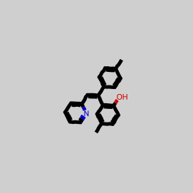 Cc1ccc(C(=Cc2ccccn2)c2cc(C)ccc2O)cc1